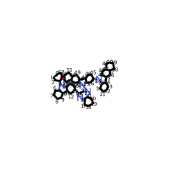 c1ccc(-n2c3ccccc3c3cc(-c4nc5ccccc5nc4-n4c5cc(-n6c7ccccc7c7cc8ccccc8cc76)ccc5c5cc6ccccc6cc54)ccc32)cc1